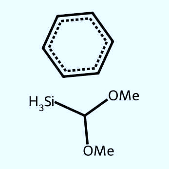 COC([SiH3])OC.c1ccccc1